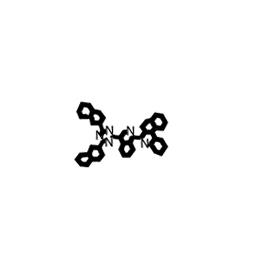 c1ccc2cc(-c3nc(-c4ccc5ccccc5c4)nc(-c4cnc(-c5nc6ccccc6c6c5ccc5ccccc56)c5ccccc45)n3)ccc2c1